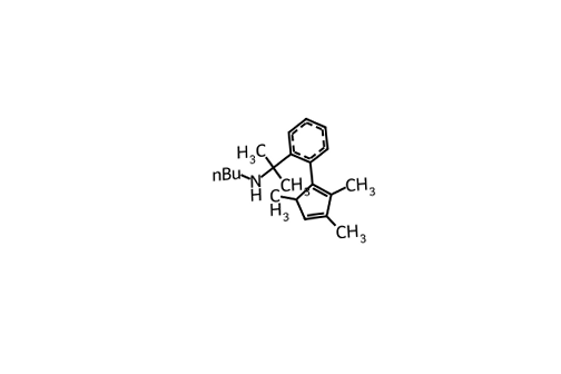 CCCCNC(C)(C)c1ccccc1C1=C(C)C(C)=CC1C